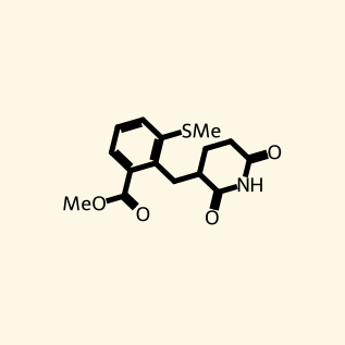 COC(=O)c1cccc(SC)c1CC1CCC(=O)NC1=O